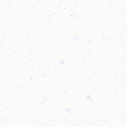 CC1=CNCC(CNc2nc(C)nc(N)c2CN)N1